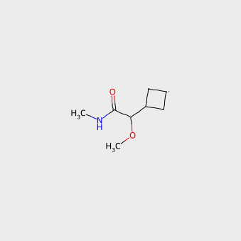 CNC(=O)C(OC)C1C[CH]C1